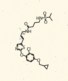 CC(C)S(=O)(=O)NCCCC(=O)N[C@@H](C)/C=C/c1cnc(Oc2ccc(OCC3CC3)cc2Cl)s1